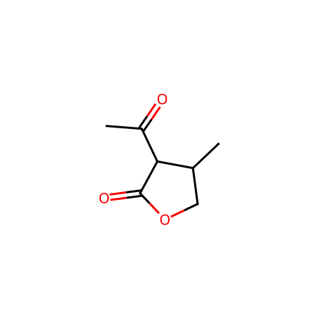 CC(=O)C1C(=O)OCC1C